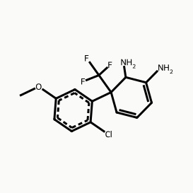 COc1ccc(Cl)c(C2(C(F)(F)F)C=CC=C(N)C2N)c1